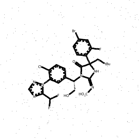 CC(C)(C)CC1(c2ccc(Br)cc2F)NC(=NC(=O)O)N([C@H](CO)c2ccc(Cl)c(-n3ncnc3C(F)F)c2)C1=O